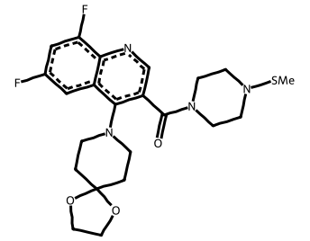 CSN1CCN(C(=O)c2cnc3c(F)cc(F)cc3c2N2CCC3(CC2)OCCO3)CC1